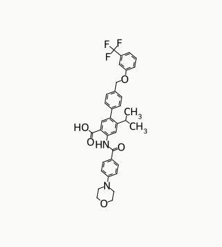 CC(C)c1cc(NC(=O)c2ccc(N3CCOCC3)cc2)c(C(=O)O)cc1-c1ccc(COc2cccc(C(F)(F)F)c2)cc1